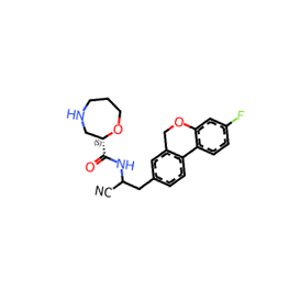 N#CC(Cc1ccc2c(c1)COc1cc(F)ccc1-2)NC(=O)[C@@H]1CNCCCO1